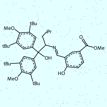 COC(=O)c1ccc(O)c(C=NC(CC(C)C)C(O)(c2cc(C(C)(C)C)c(OC)c(C(C)(C)C)c2)c2cc(C(C)(C)C)c(OC)c(C(C)(C)C)c2)c1